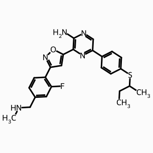 CCC(C)Sc1ccc(-c2cnc(N)c(-c3cc(-c4ccc(CNC)cc4F)no3)n2)cc1